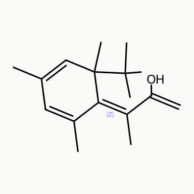 C=C(O)/C(C)=C1/C(C)=CC(C)=CC1(C)C(C)(C)C